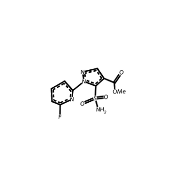 COC(=O)c1cnn(-c2cccc(F)n2)c1S(N)(=O)=O